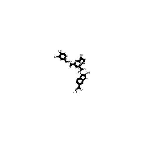 COC(=O)c1ccc2c(c1)C[C@H](O)[C@@H]2NC(=O)c1cc(C(=O)NCc2ccc(F)c(Cl)c2)nc2c(F)cnn12